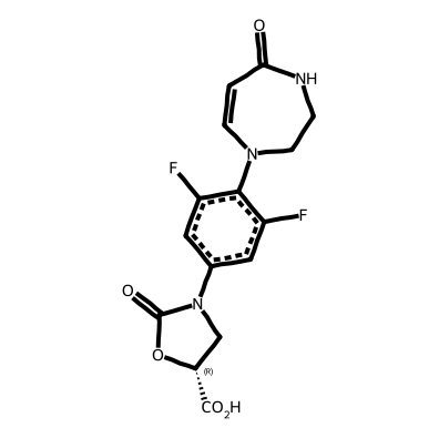 O=C1C=CN(c2c(F)cc(N3C[C@H](C(=O)O)OC3=O)cc2F)CCN1